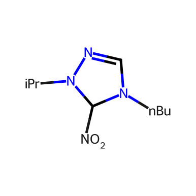 CCCCN1C=NN(C(C)C)C1[N+](=O)[O-]